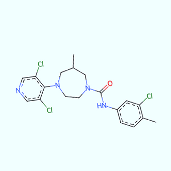 Cc1ccc(NC(=O)N2CCN(c3c(Cl)cncc3Cl)CC(C)C2)cc1Cl